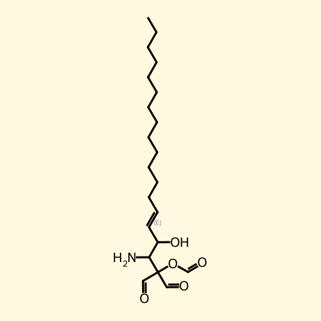 CCCCCCCCCCCCC/C=C/C(O)C(N)C(C=O)(C=O)OC=O